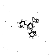 F[B-](F)(F)F.c1ccc(-c2cccc(-c3ccccn3)n2)nc1